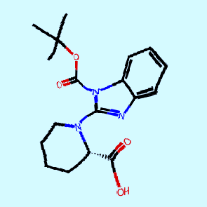 CC(C)(C)OC(=O)n1c(N2CCCC[C@H]2C(=O)O)nc2ccccc21